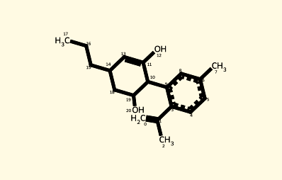 C=C(C)c1ccc(C)cc1C1C(O)=CC(CCC)CC1O